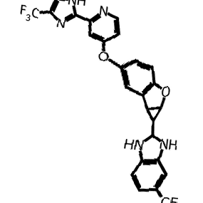 FC(F)(F)c1ccc2c(c1)NC(C1C3Oc4ccc(Oc5ccnc(-c6nc(C(F)(F)F)c[nH]6)c5)cc4C31)N2